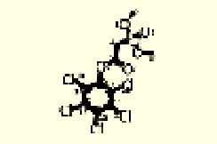 COP(=O)(CC(=O)Oc1c(Cl)c(Cl)c(Cl)c(Cl)c1Cl)OC